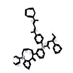 C=C1/C(c2cccc(N(/C(C)=C/C(=C\C)c3ccccc3)c3ccc(/C(C)=C/C=C(\C)C4=CC=CC=CC4)cc3)c2)=C\C=C/CN(C(/C=C\C)=C/C)c2ccccc21